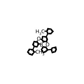 Cc1ccccc1-c1cc2c3c(c1)Oc1c(cccc1-c1ccccc1)B3c1cc(-c3ccccc3C)ccc1O2